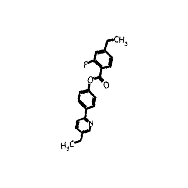 CCc1ccc(-c2ccc(OC(=O)c3ccc(CC)cc3F)cc2)nc1